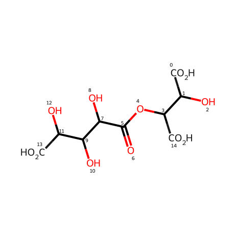 O=C(O)C(O)C(OC(=O)C(O)C(O)C(O)C(=O)O)C(=O)O